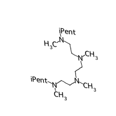 CCCC(C)N(C)CCN(C)CCN(C)CCN(C)C(C)CCC